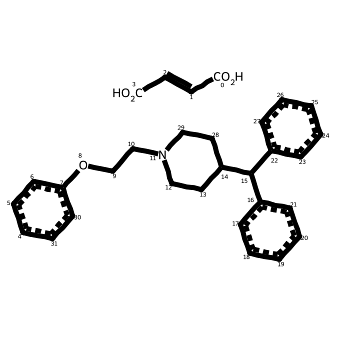 O=C(O)C=CC(=O)O.c1ccc(OCCN2CCC(C(c3ccccc3)c3ccccc3)CC2)cc1